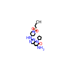 C#CCCS(=O)(=O)N1CCC(Nc2ncc3cc(N)c(=O)n(C4CCCC4)c3n2)CC1